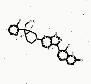 NC[C@]1(c2ccccc2F)[C@@H]2CCN(c3cnc4c(-c5ccc6ccc(=O)[nH]c6c5Cl)n[nH]c4n3)C[C@@H]21